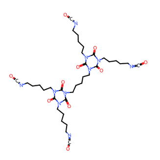 O=C=NCCCCCn1c(=O)n(CCCCCN=C=O)c(=O)n(CCCCCn2c(=O)n(CCCCCN=C=O)c(=O)n(CCCCCN=C=O)c2=O)c1=O